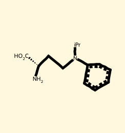 CC(C)N(CC[C@H](N)C(=O)O)c1ccccc1